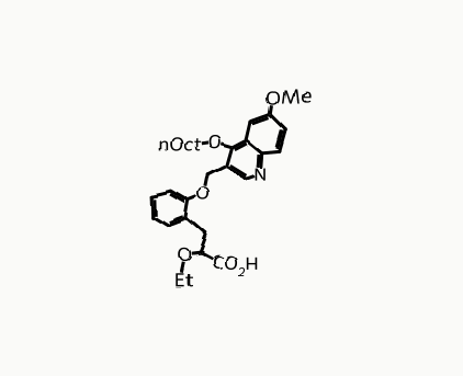 CCCCCCCCOc1c(COc2ccccc2CC(OCC)C(=O)O)cnc2ccc(OC)cc12